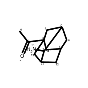 CC(=O)C12CC3CC(C1)C(N)C(C3)C2